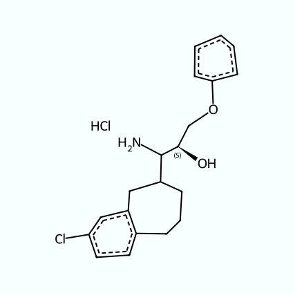 Cl.NC(C1CCCc2ccc(Cl)cc2C1)[C@H](O)COc1ccccc1